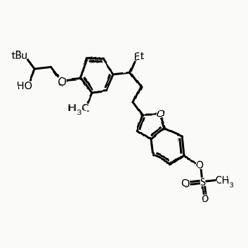 CCC(CCc1cc2ccc(OS(C)(=O)=O)cc2o1)c1ccc(OCC(O)C(C)(C)C)c(C)c1